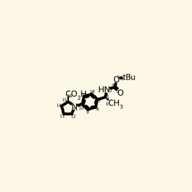 C[C@H](NC(=O)OC(C)(C)C)c1ccc(N2CCC[C@H]2C(=O)O)cc1